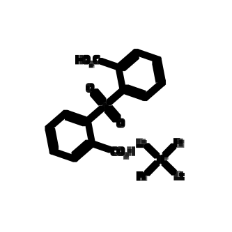 CC[N+](CC)(CC)CC.O=C(O)c1ccccc1S(=O)(=O)c1ccccc1C(=O)O